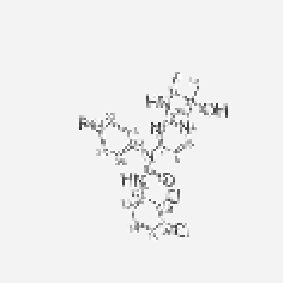 CC(Nc1nccc(N(C(=O)Nc2cccc(Cl)c2Cl)c2ccc(F)cc2)n1)C(C)(C)O